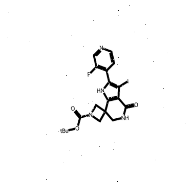 CC(C)(C)OC(=O)N1CC2(CNC(=O)c3c2[nH]c(-c2ccncc2F)c3I)C1